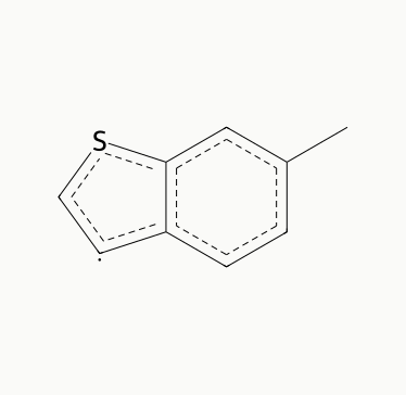 Cc1ccc2[c]csc2c1